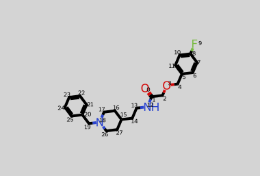 O=C(COCc1ccc(F)cc1)NCCC1CCN(Cc2ccccc2)CC1